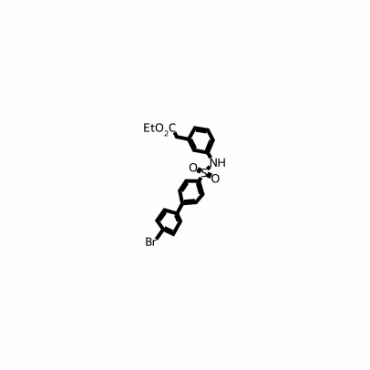 CCOC(=O)Cc1cccc(NS(=O)(=O)c2ccc(-c3ccc(Br)cc3)cc2)c1